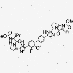 COC(=O)N[C@H](C(=O)N1CCCC1c1ncc(-c2ccc3c(c2)COc2c-3ccc(-c3cnc([C@@H]4CCCN4C(=O)[C@@H](NC(=O)OC)C(C)C)[nH]3)c2F)[nH]1)C(C)C